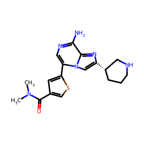 CN(C)C(=O)c1csc(-c2cnc(N)c3nc([C@H]4CCCNC4)cn23)c1